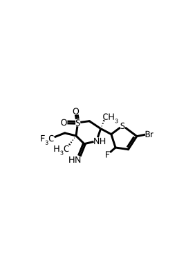 C[C@@]1(C2SC(Br)=CC2F)CS(=O)(=O)[C@](C)(CC(F)(F)F)C(=N)N1